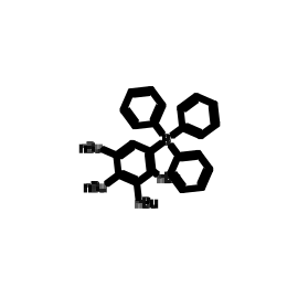 CCCCc1cc([B-](c2ccccc2)(c2ccccc2)c2ccccc2)c(CCCC)c(CCCC)c1CCCC